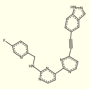 Fc1ccc(CNc2nccc(-c3nccc(C#Cc4ccc5[nH]ncc5c4)n3)n2)nc1